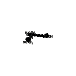 CC1(C)C(=O)N(c2ccc(C#N)c(C(F)(F)F)c2)C(=S)N1CCCCCCCCN1CC[C@@H](O)C1